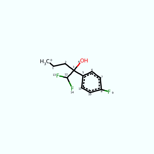 CCCC(O)(c1ccc(F)cc1)C(F)F